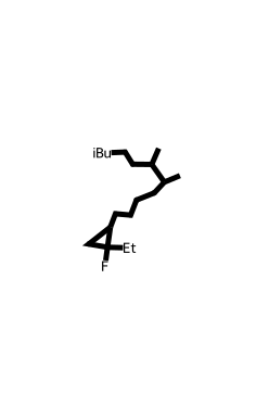 CCC(C)CCC(C)C(C)CCCCC1CC1(F)CC